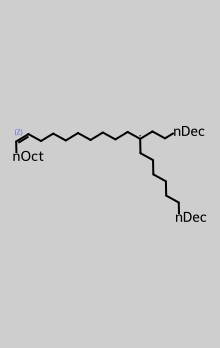 CCCCCCCC/C=C\CCCCCCCC[C](CCCCCCCCCCCC)CCCCCCCCCCCCCCCC